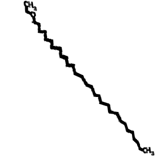 CCCCCCCCCCCCCCCCCCCCCCCCCCCCC[CH]OCC